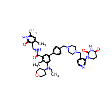 CCN(c1cc(-c2ccc(CN3CCN(Cc4ccncc4N4CCC(=O)NC4=O)CC3)cc2)cc(C(=O)NCc2c(C)cc(C)[nH]c2=O)c1C)C1CCOCC1